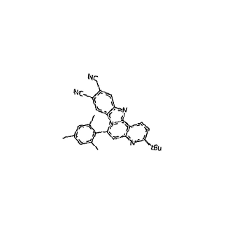 Cc1cc(C)c(-c2cc3nc(C(C)(C)C)ccc3c3nc4cc(C#N)c(C#N)cc4n23)c(C)c1